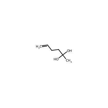 C=CCCC(C)(O)O